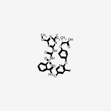 COc1nc(C)nc(NC(=O)NS(=O)(=O)c2ccccc2C(=O)O)n1.C[C@@H](Oc1ccc(Oc2ncc(Cl)cc2F)cc1)C(=O)O